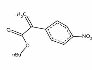 C=C(C(=O)OCCCC)c1ccc([N+](=O)[O-])cc1